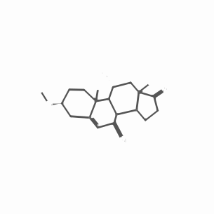 CO[C@H]1CCC2(C)C(=CC(=N)C3C4CCC(=N)C4(C)C[C@@H](O)C32)C1